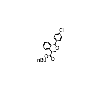 CCCCOC(=O)C(C)c1ccccc1C(=O)c1ccc(Cl)cc1